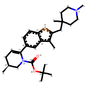 Cc1c(CC2(C)CCN(C)CC2)sc2ccc(C3=CC[C@H](C)CN3C(=O)OC(C)(C)C)cc12